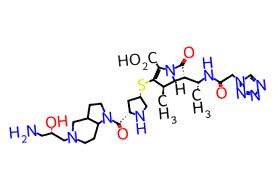 C[C@@H](NC(=O)Cn1cnnn1)[C@H]1C(=O)N2C(C(=O)O)=C(S[C@@H]3CN[C@H](C(=O)N4CCC5CN(C[C@@H](O)CN)CCC54)C3)[C@H](C)[C@H]12